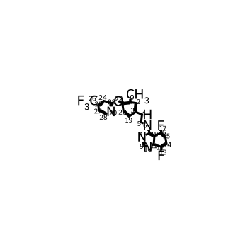 Cc1cc(CCNc2ncnc3c(F)ccc(F)c23)ccc1Oc1cc(C(F)(F)F)ccn1